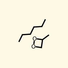 CC1COO1.CCCCCC